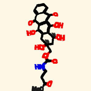 COC(=O)CCNC(=O)OC[C@]1(O)Cc2c(O)c3c(c(O)c2[C@@H](O)C1)C(=O)c1ccccc1C3=O